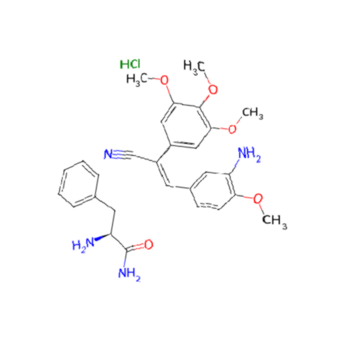 COc1ccc(/C=C(/C#N)c2cc(OC)c(OC)c(OC)c2)cc1N.Cl.NC(=O)[C@@H](N)Cc1ccccc1